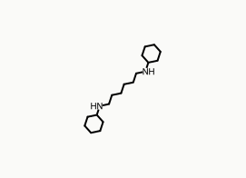 C(CCCNC1CCCCC1)CCNC1CCCCC1